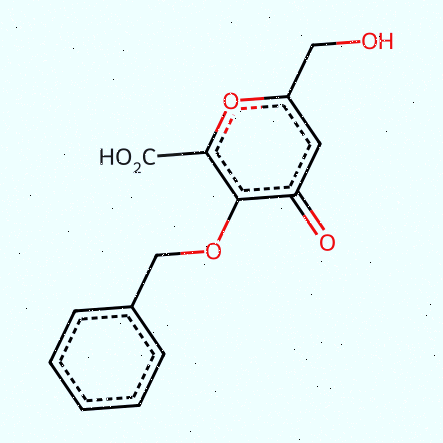 O=C(O)c1oc(CO)cc(=O)c1OCc1ccccc1